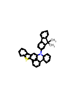 CC1(C)c2ccccc2-c2ccc(N(c3ccc4sc5ccccc5c4c3)c3ccccc3-c3ccccc3)cc21